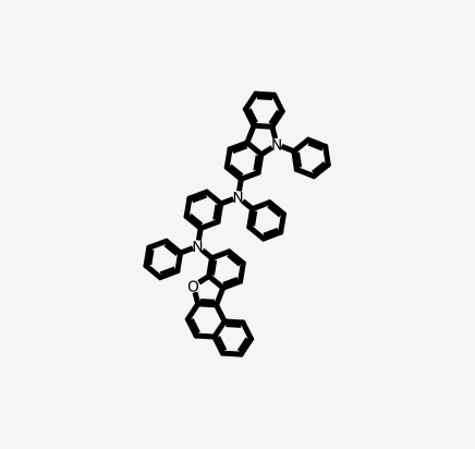 c1ccc(N(c2cccc(N(c3ccccc3)c3cccc4c3oc3ccc5ccccc5c34)c2)c2ccc3c4ccccc4n(-c4ccccc4)c3c2)cc1